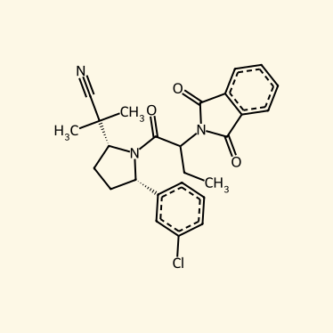 CCC(C(=O)N1[C@H](c2cccc(Cl)c2)CC[C@@H]1C(C)(C)C#N)N1C(=O)c2ccccc2C1=O